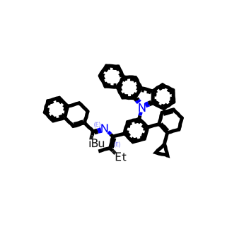 CC/C(C)=C(/N=C(/C1=Cc2ccccc2CC1)C(C)CC)c1ccc(C2=C(C3CC3)CCC=C2)c(-n2c3ccccc3c3cc4ccccc4cc32)c1